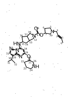 CC#CCN1CCC(OC(=O)N2CC3CC(Nc4cc(O[C@@H]5CCCNC5)nc5c(C(C)C)cnn45)CC3C2)C1